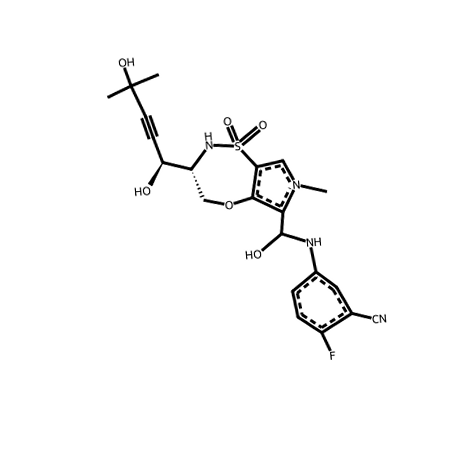 Cn1cc2c(c1C(O)Nc1ccc(F)c(C#N)c1)OC[C@H]([C@@H](O)C#CC(C)(C)O)NS2(=O)=O